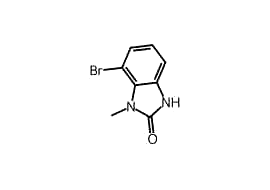 Cn1c(=O)[nH]c2cccc(Br)c21